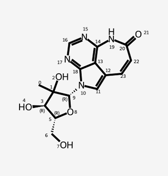 CC1(O)[C@H](O)[C@@H](CO)O[C@H]1n1cc2c3c(ncnc31)NC(=O)C=C2